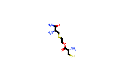 NC(=O)[C@H](N)CSCCOC(=O)[C@H](N)CS